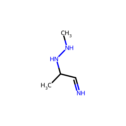 CNNC(C)C=N